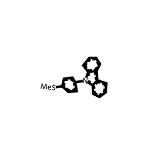 CSc1ccc(-n2c3ccccc3c3ccccc32)cc1